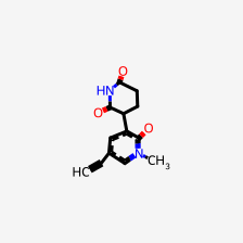 C#Cc1cc(C2CCC(=O)NC2=O)c(=O)n(C)c1